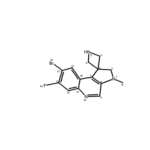 CN1CC2(CNC2)c2c1cnc1cc(F)c(Br)cc21